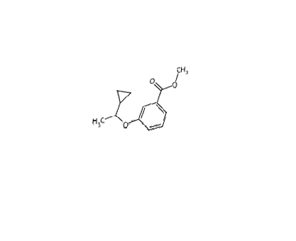 COC(=O)c1cccc(OC(C)C2CC2)c1